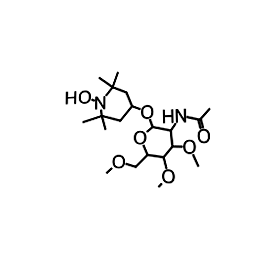 COCC1OC(OC2CC(C)(C)N(O)C(C)(C)C2)C(NC(C)=O)C(OC)C1OC